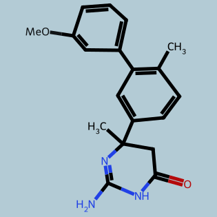 COc1cccc(-c2cc(C3(C)CC(=O)NC(N)=N3)ccc2C)c1